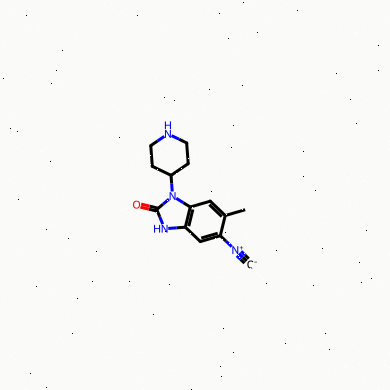 [C-]#[N+]c1cc2[nH]c(=O)n(C3CCNCC3)c2cc1C